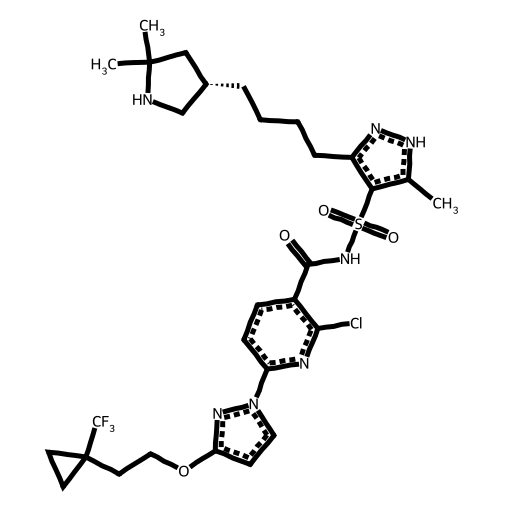 Cc1[nH]nc(CCCC[C@@H]2CNC(C)(C)C2)c1S(=O)(=O)NC(=O)c1ccc(-n2ccc(OCCC3(C(F)(F)F)CC3)n2)nc1Cl